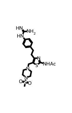 CC(=O)Nc1nc(CCc2ccc(NC(=N)N)cc2)c(CN2CCN(S(C)(=O)=O)CC2)s1